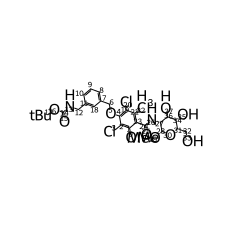 COc1c(Cl)c(OCc2cccc(CNC(=O)OC(C)(C)C)c2)c(Cl)c(C)c1C(=O)N[C@H]1[C@@H](OC)O[C@H](CO)[C@@H](O)[C@@H]1O